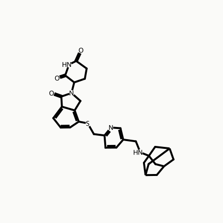 O=C1CCC(N2Cc3c(SCc4ccc(CNC56CC7CC(CC(C7)C5)C6)cn4)cccc3C2=O)C(=O)N1